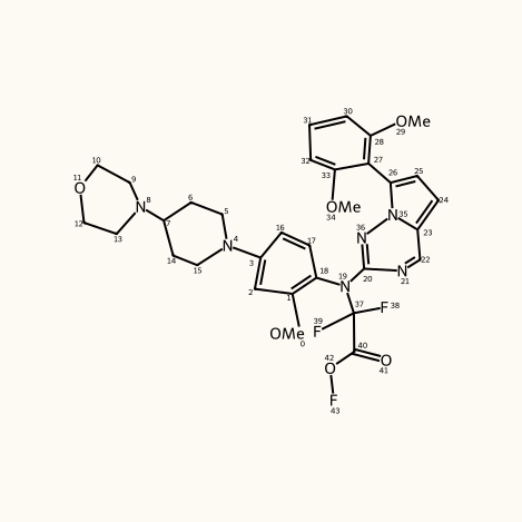 COc1cc(N2CCC(N3CCOCC3)CC2)ccc1N(c1ncc2ccc(-c3c(OC)cccc3OC)n2n1)C(F)(F)C(=O)OF